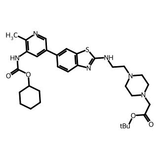 Cc1ncc(-c2ccc3nc(NCCN4CCN(CC(=O)OC(C)(C)C)CC4)sc3c2)cc1NC(=O)OC1CCCCC1